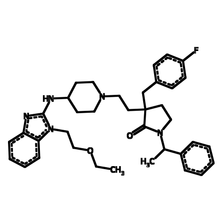 CCOCCn1c(NC2CCN(CCC3(Cc4ccc(F)cc4)CCN(C(C)c4ccccc4)C3=O)CC2)nc2ccccc21